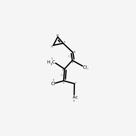 CC(=O)C/C(Cl)=C(C)\C(Cl)=C/C1=CC1